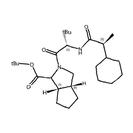 C[C@H](C(=O)N[C@H](C(=O)N1C[C@@H]2CCC[C@@H]2C1C(=O)OC(C)(C)C)C(C)(C)C)C1CCCCC1